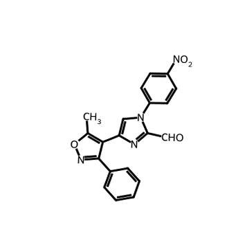 Cc1onc(-c2ccccc2)c1-c1cn(-c2ccc([N+](=O)[O-])cc2)c(C=O)n1